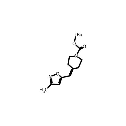 Cc1cc(C=C2CCN(C(=O)OC(C)(C)C)CC2)on1